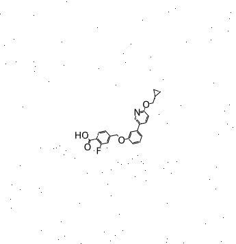 O=C(O)c1ccc(COc2cccc(-c3ccc(OCC4CC4)nc3)c2)cc1F